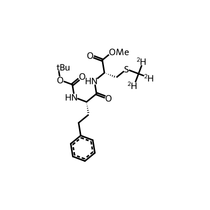 [2H]C([2H])([2H])SC[C@H](NC(=O)[C@H](CCc1ccccc1)NC(=O)OC(C)(C)C)C(=O)OC